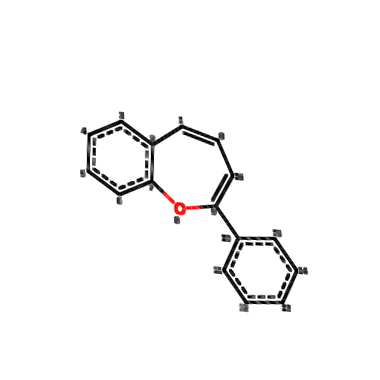 C1=Cc2ccccc2OC(c2ccccc2)=C1